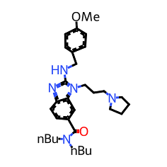 CCCCN(CCCC)C(=O)c1ccc2nc(NCc3ccc(OC)cc3)n(CCCN3CCCC3)c2c1